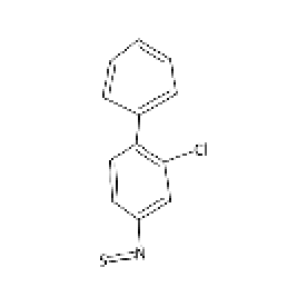 S=Nc1ccc(-c2ccccc2)c(Cl)c1